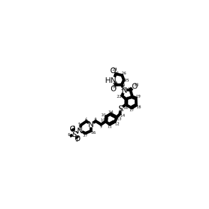 CS(=O)(=O)N1CCN(CCc2ccc(CSc3cccc4c3CN(C3CCC(=O)NC3=O)C4=O)cc2)CC1